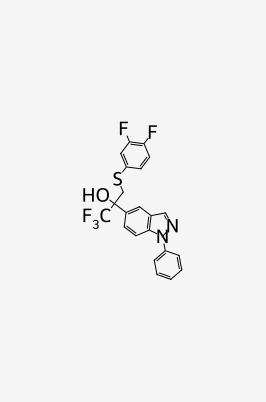 OC(CSc1ccc(F)c(F)c1)(c1ccc2c(cnn2-c2ccccc2)c1)C(F)(F)F